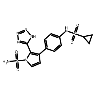 NS(=O)(=O)n1ccc(-c2ccc(NS(=O)(=O)C3CC3)cc2)c1-c1nnn[nH]1